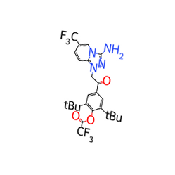 CC(C)(C)c1cc(C(=O)C[n+]2nc(N)n3cc(C(F)(F)F)ccc32)cc(C(C)(C)C)c1OC(=O)C(F)(F)F